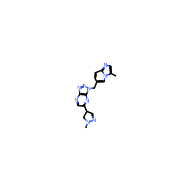 Cc1cnc2ccc(Cn3nnc4ncc(C5C=NN(C)C5)nc43)cn12